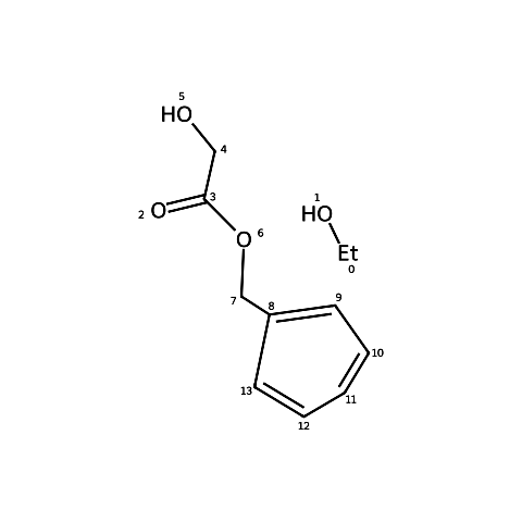 CCO.O=C(CO)OCc1ccccc1